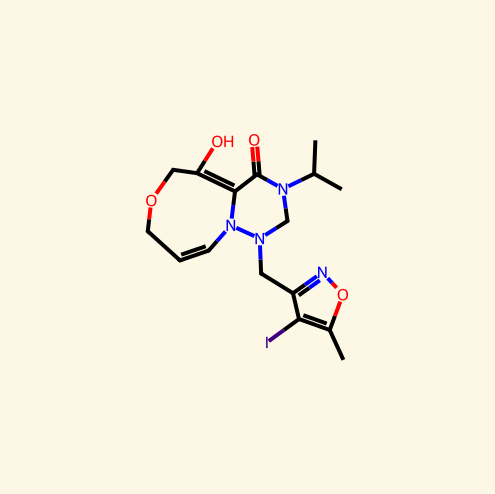 Cc1onc(CN2CN(C(C)C)C(=O)/C3=C(\O)COC/C=C\N32)c1I